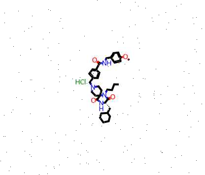 CCCCN1C(=O)[C@H](CC2CCCCC2)NC(=O)C12CCN(Cc1ccc(C(=O)NCc3ccc(OC)cc3)cc1)CC2.Cl